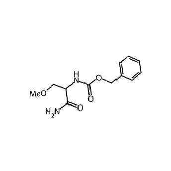 COCC(NC(=O)OCc1ccccc1)C(N)=O